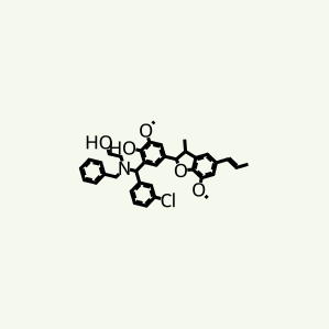 C/C=C/c1cc(OC)c2c(c1)C(C)C(c1cc(OC)c(O)c(C(c3cccc(Cl)c3)N(CCO)Cc3ccccc3)c1)O2